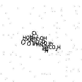 CCC(C)C(NC(=O)CC(O)C(Cc1ccccc1)NC(=O)C(NC(=O)C(O)c1ccccc1)C(C)C)C(=O)NC(C(=O)O)C(C)C